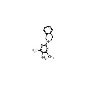 Cc1nc(N2CCc3ccccc3C2)nc(C)c1N